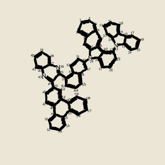 c1ccc2cc3c(cc2c1)c1c(-n2c4ccccc4c4ccccc42)cccc1n3-c1ccc2c(-c3nc4ccccc4nc3-c3ccc4c5ccccc5c5ccccc5c4c3)cccc2c1